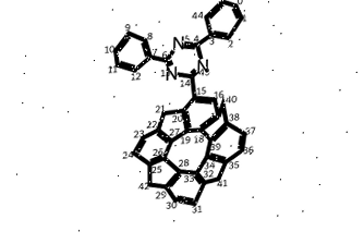 c1ccc(-c2nc(-c3ccccc3)nc(-c3cc4c5c6c3Cc3ccc7c(c3-6)-c3c(ccc6c3-c3c(ccc(c3-5)C4)C6)C7)n2)cc1